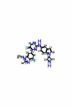 Cc1nc2c(F)cc(-c3nc(Nc4ccc5c(ccn5C5CNC5)c4)ncc3F)cc2n1C(C)C